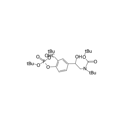 CC(C)(C)OC(=O)N(CC(O)c1ccc(OP(=O)(OC(C)(C)C)OC(C)(C)C)c(C=O)c1)C(C)(C)C